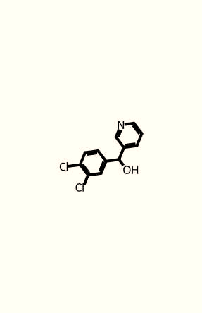 OC(c1cccnc1)c1ccc(Cl)c(Cl)c1